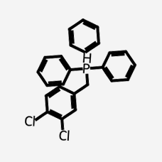 Clc1ccc(C[PH](c2ccccc2)(c2ccccc2)c2ccccc2)cc1Cl